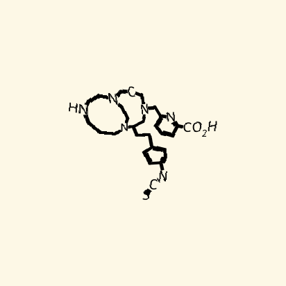 O=C(O)c1cccc(CN2CCCN3CCNCCCN(CC3)C(CCc3ccc(N=C=S)cc3)C2)n1